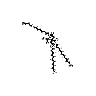 CCCC(=O)OC(CC(=O)OCCCCCCCCCCCC(C)C)(CC(=O)OCCCCCCCCCCCC(C)C)C(=O)OCCCCCCCCCCCC(C)C